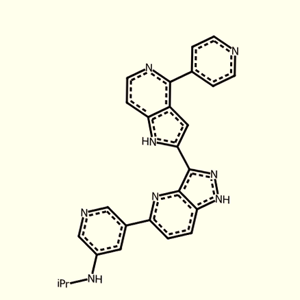 CC(C)Nc1cncc(-c2ccc3[nH]nc(-c4cc5c(-c6ccncc6)nccc5[nH]4)c3n2)c1